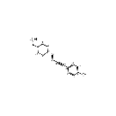 C=C[C@H]1CC[C@H](/C=C/C#Cc2ccc(CC)cc2)CC1